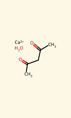 CC(=O)CC(C)=O.O.[Ca+2]